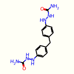 NC(=O)NNc1ccc(Cc2ccc(NNC(N)=O)cc2)cc1